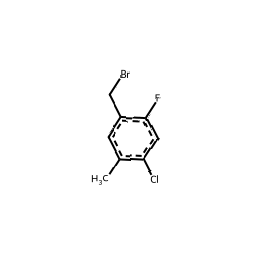 Cc1cc(CBr)c(F)cc1Cl